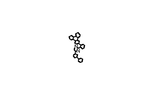 c1ccc(-c2cccc(-c3ccnc(-c4ccccc4-c4ccc5c6ccccc6c6ccccc6c5c4)n3)c2)cc1